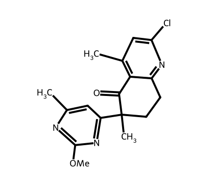 COc1nc(C)cc(C2(C)CCc3nc(Cl)cc(C)c3C2=O)n1